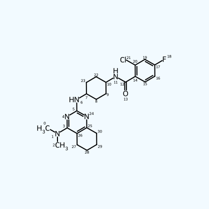 CN(C)c1nc(NC2CCC(NC(=O)c3ccc(F)cc3Cl)CC2)nc2c1CCCC2